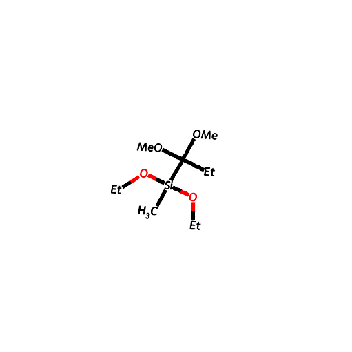 CCO[Si](C)(OCC)C(CC)(OC)OC